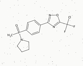 CP(=O)(c1ccc(-c2noc(C(F)(F)Cl)n2)cc1)N1CCCC1